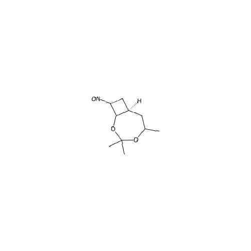 CC1C[C@@H]2CC(N=O)C2OC(C)(C)O1